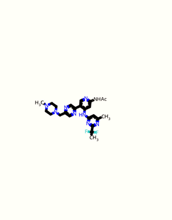 CC(=O)Nc1cc(Nc2cc(C)nc(C(C)(F)F)n2)c(-c2cnc(CN3CCN(C)CC3)cn2)cn1